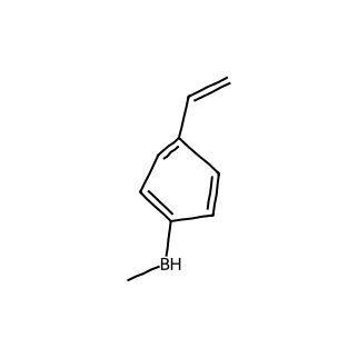 C=Cc1ccc(BC)cc1